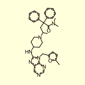 Cc1ccc(Cn2c(NC3CCN(C(C)CC(C(=O)N(C)C)(c4ccccc4)c4ccccc4)CC3)nc3cncnc32)o1